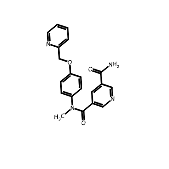 CN(C(=O)c1cncc(C(N)=O)c1)c1ccc(OCc2ccccn2)cc1